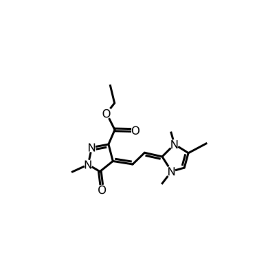 CCOC(=O)C1=NN(C)C(=O)/C1=C/C=C1\N(C)C=C(C)N1C